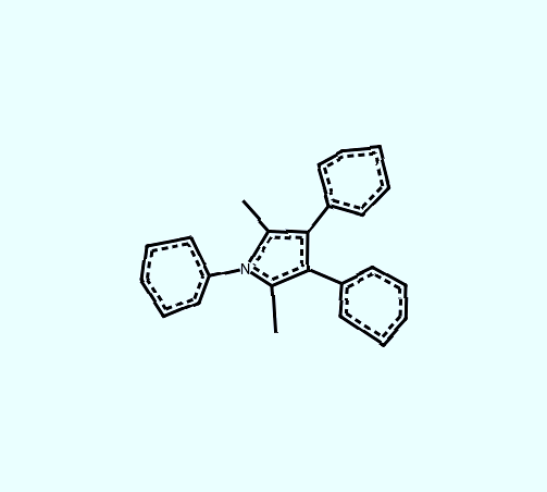 Cc1c(-c2ccccc2)c(-c2ccccc2)c(C)n1-c1ccccc1